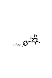 CCCCCN1CCN(CCn2c(C)c(C)nc(CC)c2=O)CC1